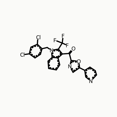 O=C(c1ncc(-c2cccnc2)o1)c1c(C(F)(F)F)n(Cc2ccc(Cl)cc2Cl)c2ccccc12